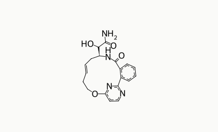 NC(=O)C(O)[C@@H]1C/C=C/CCOc2ccnc(n2)-c2ccccc2C(=O)N1